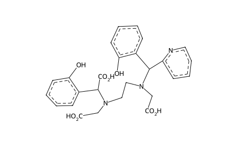 O=C(O)CN(CCN(CC(=O)O)C(c1ccccn1)c1ccccc1O)C(C(=O)O)c1ccccc1O